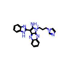 Nc1c(-c2nc3ccccc3[nH]2)c2nc3ccccc3nc2n1CCCn1ccnc1